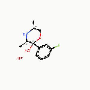 Br.C[C@H]1CO[C@](O)(c2cccc(F)c2)[C@@H](C)N1